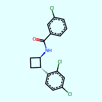 O=C(N[C@@H]1CC[C@H]1c1ccc(Cl)cc1Cl)c1cccc(Cl)c1